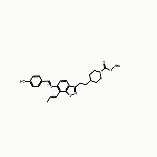 C/C=C/c1c(/N=C/c2ccc(C#N)cc2)ccc2c(CCC3CCN(C(=O)OC(C)(C)C)CC3)noc12